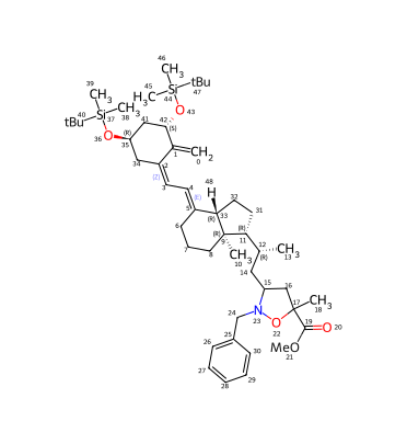 C=C1/C(=C\C=C2/CCC[C@]3(C)[C@@H]([C@H](C)CC4CC(C)(C(=O)OC)ON4Cc4ccccc4)CC[C@@H]23)C[C@@H](O[Si](C)(C)C(C)(C)C)C[C@@H]1O[Si](C)(C)C(C)(C)C